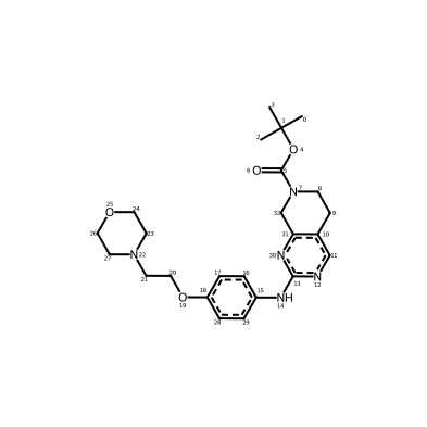 CC(C)(C)OC(=O)N1CCc2cnc(Nc3ccc(OCCN4CCOCC4)cc3)nc2C1